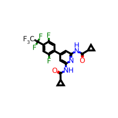 O=C(Nc1cc(-c2cc(F)c(C(F)(F)C(F)(F)F)cc2F)cc(NC(=O)C2CC2)n1)C1CC1